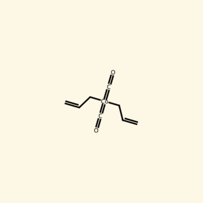 C=C[CH2][Co](=[C]=O)(=[C]=O)[CH2]C=C